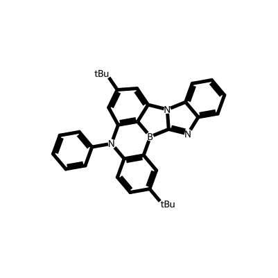 CC(C)(C)c1ccc2c(c1)B1c3c(cc(C(C)(C)C)cc3-n3c1nc1ccccc13)N2c1ccccc1